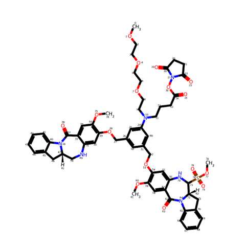 COCCOCCOCCN(CCCC(=O)ON1C(=O)CCC1=O)c1cc(COc2cc3c(cc2OC)C(=O)N2c4ccccc4C[C@H]2CN3)cc(COc2cc3c(cc2OC)C(=O)N2c4ccccc4C[C@H]2C(S(=O)(=O)OC)N3)c1